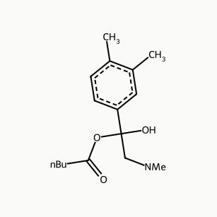 CCCCC(=O)OC(O)(CNC)c1ccc(C)c(C)c1